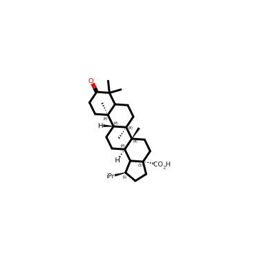 CC(C)[C@@H]1CC[C@]2(C(=O)O)CC[C@]3(C)[C@H](CC[C@@H]4[C@@]5(C)CCC(=O)C(C)(C)C5CC[C@]43C)C12